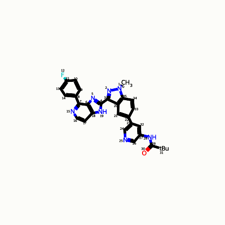 Cn1nc(-c2nc3c(-c4ccc(F)cc4)nccc3[nH]2)c2cc(-c3cncc(NC(=O)C(C)(C)C)c3)ccc21